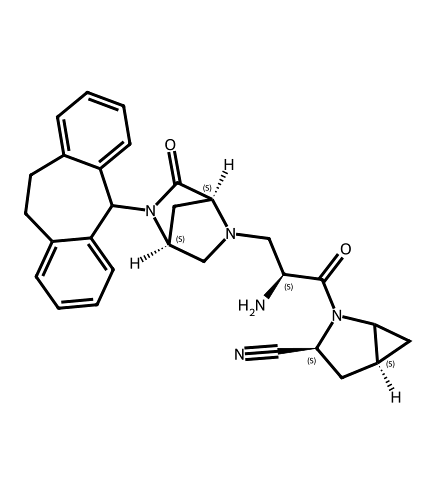 N#C[C@@H]1C[C@@H]2CC2N1C(=O)[C@@H](N)CN1C[C@@H]2C[C@H]1C(=O)N2C1c2ccccc2CCc2ccccc21